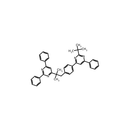 CC(C)(C)c1nc(-c2ccccc2)cc(-c2ccc(CC(C)(C)c3cc(-c4ccccc4)nc(-c4ccccc4)n3)cc2)n1